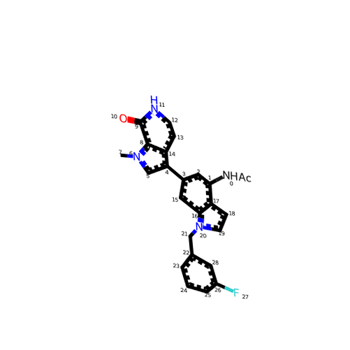 CC(=O)Nc1cc(-c2cn(C)c3c(=O)[nH]ccc23)cc2c1ccn2Cc1cccc(F)c1